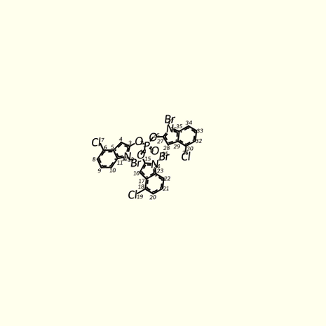 O=P(Oc1cc2c(Cl)cccc2n1Br)(Oc1cc2c(Cl)cccc2n1Br)Oc1cc2c(Cl)cccc2n1Br